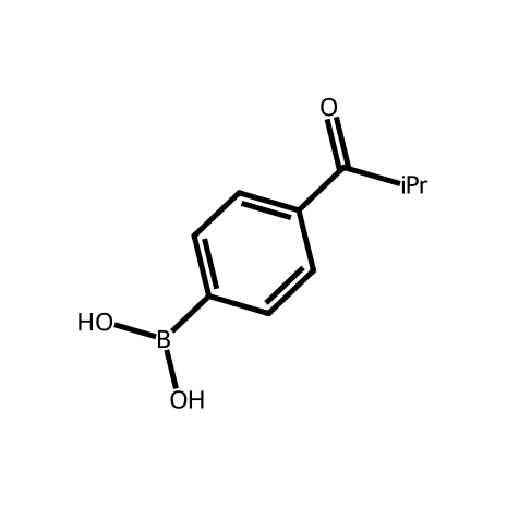 CC(C)C(=O)c1ccc(B(O)O)cc1